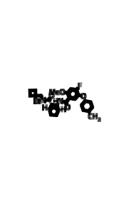 CCC1(CNC(=O)[C@H]2[C@@H]3CC[C@@H](C3)[C@H]2NC(=O)c2cc(O[C@H]3CC[C@H](C)CC3)c(F)cc2OC)CCC1